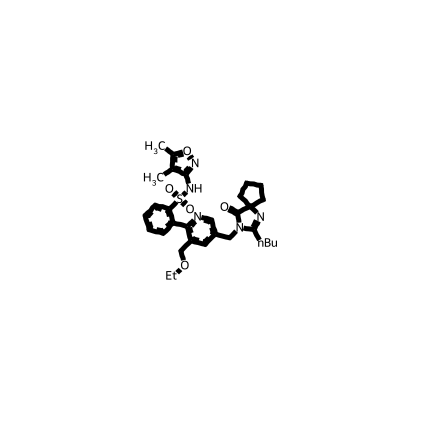 CCCCC1=NC2(CCCC2)C(=O)N1Cc1cnc(-c2ccccc2S(=O)(=O)Nc2noc(C)c2C)c(COCC)c1